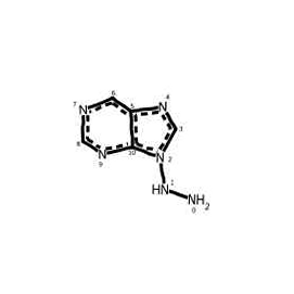 NNn1cnc2cncnc21